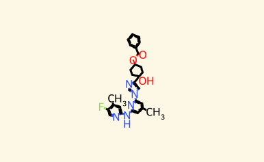 Cc1cc(Nc2cc(C)c(F)cn2)nc(-n2cnc([C@]3(O)CC[C@@H](OC(=O)c4ccccc4)CC3)c2)c1